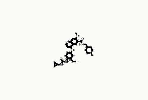 COc1cc2nccc(Oc3ccc(NC(=O)NC4CC4)c(CI)c3)c2cc1C(=O)NCC1CCN(C)CC1